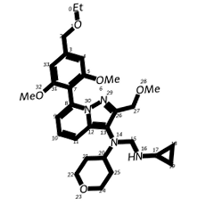 CCOCc1cc(OC)c(-c2cccc3c(N(CNC4CC4)C4CCOCC4)c(COC)nn23)c(OC)c1